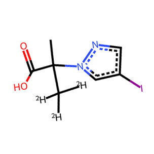 [2H]C([2H])([2H])C(C)(C(=O)O)n1cc(I)cn1